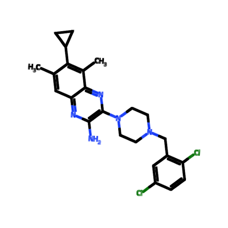 Cc1cc2nc(N)c(N3CCN(Cc4cc(Cl)ccc4Cl)CC3)nc2c(C)c1C1CC1